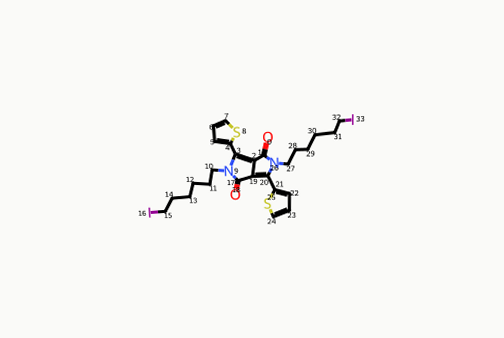 O=C1C2=C(c3cccs3)N(CCCCCCI)C(=O)C2=C(c2cccs2)N1CCCCCCI